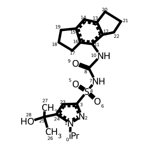 CC(C)n1nc(S(=O)(=O)NC(=O)Nc2c3c(cc4c2CCC4)CCC3)cc1C(C)(C)O